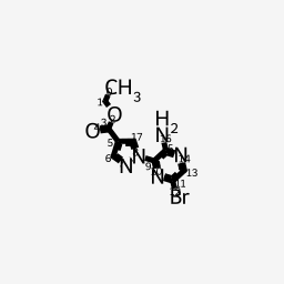 CCOC(=O)c1cnn(-c2nc(Br)cnc2N)c1